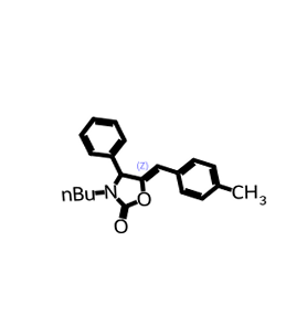 CCCCN1C(=O)O/C(=C\c2ccc(C)cc2)C1c1ccccc1